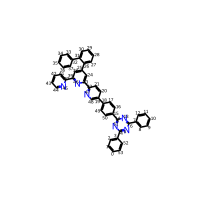 c1ccc(-c2nc(-c3ccccc3)nc(-c3ccc(-c4ccc(-c5cc(-c6ccccc6-c6ccccc6)cc(-c6ccccn6)n5)nc4)cc3)n2)cc1